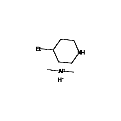 CCC1CCNCC1.[CH3][Al+][CH3].[H-]